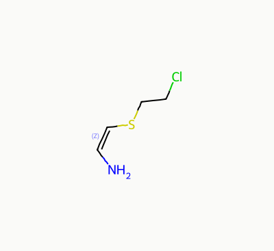 N/C=C\SCCCl